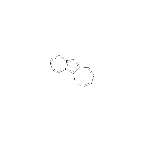 C1=Cc2sc3ccccc3c2NN=C1